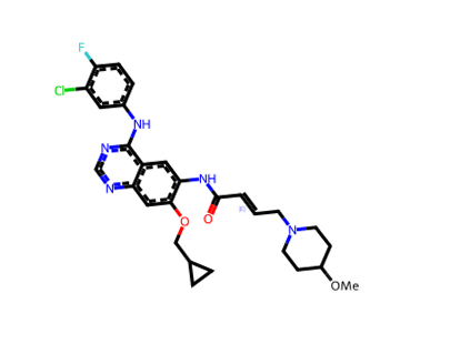 COC1CCN(C/C=C/C(=O)Nc2cc3c(Nc4ccc(F)c(Cl)c4)ncnc3cc2OCC2CC2)CC1